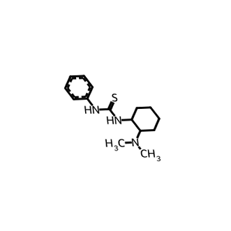 CN(C)C1CCCCC1NC(=S)Nc1ccccc1